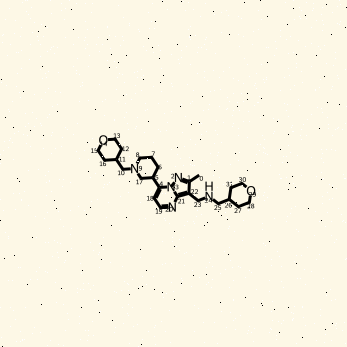 Cc1nn2c(C3CCCN(CC4CCOCC4)C3)ccnc2c1CNCC1CCOCC1